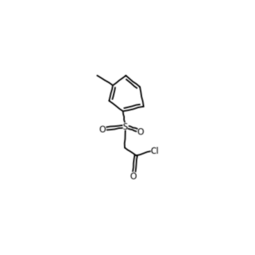 Cc1cccc(S(=O)(=O)CC(=O)Cl)c1